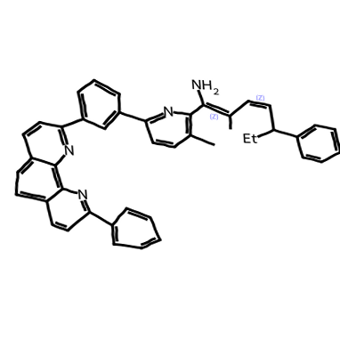 CCC(/C=C\C(C)=C(/N)c1nc(-c2cccc(-c3ccc4ccc5ccc(-c6ccccc6)nc5c4n3)c2)ccc1C)c1ccccc1